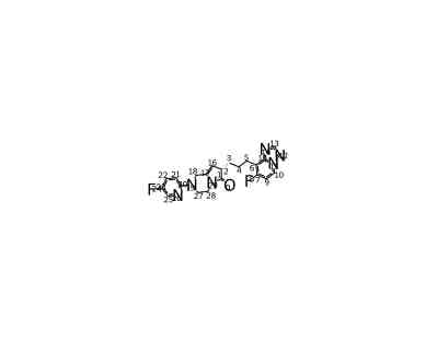 O=C1[C@@H](CCCc2c(F)ccn3ncnc23)C=C2CN(c3ccc(F)cn3)CCN12